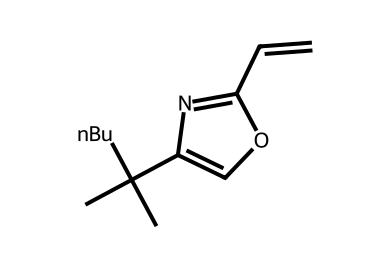 C=Cc1nc(C(C)(C)CCCC)co1